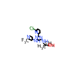 CC(C)(CO)CNc1cc(Nc2ccnc(C(F)(F)F)c2)nc(-c2cccc(Cl)n2)n1